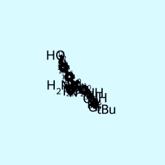 C=C1C(c2ccc(C3CCN(CCO)CC3)cc2)c2c(N)ncnc2N1c1ccc(NC(=O)Nc2cc(C(C)(C)C)on2)cc1